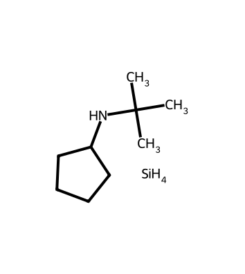 CC(C)(C)NC1CCCC1.[SiH4]